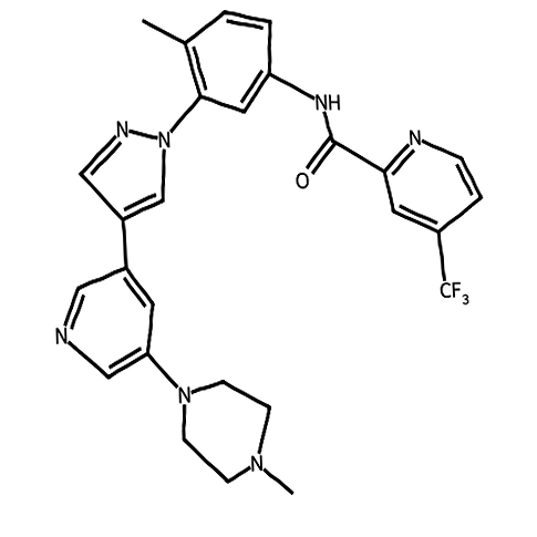 Cc1ccc(NC(=O)c2cc(C(F)(F)F)ccn2)cc1-n1cc(-c2cncc(N3CCN(C)CC3)c2)cn1